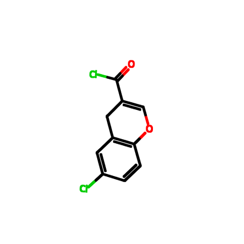 O=C(Cl)C1=COc2ccc(Cl)cc2C1